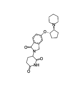 O=C1CCC(N2Cc3cc(O[C@H]4CCC[C@@H]4N4CCCCC4)ccc3C2=O)C(=O)N1